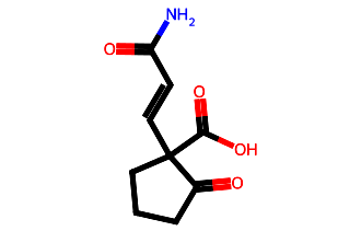 NC(=O)C=CC1(C(=O)O)CCCC1=O